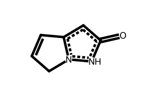 O=c1cc2n([nH]1)CC=C2